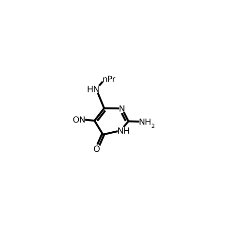 CCCNc1nc(N)[nH]c(=O)c1N=O